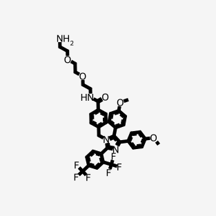 COc1ccc(-c2nc(-c3ccc(C(F)(F)F)cc3C(F)(F)F)n(Cc3ccc(C(=O)NCCOCCOCCN)cc3)c2-c2ccc(OC)cc2)cc1